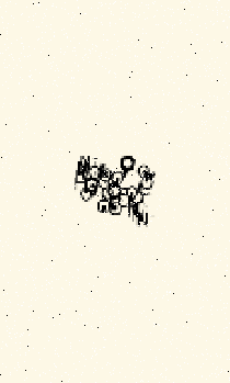 COC(=O)C1O[C@@H](O[C@@H]2C3CO[C@H](O3)C(N=[N+]=[N-])[C@@H]2OC(C)=O)C(OCc2ccccc2)[C@@H](C)[C@@H]1O[C@H]1OC(COC(C)=O)[C@@H](C)[C@H](C)C1N=[N+]=[N-]